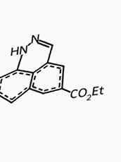 CCOC(=O)c1cc2c3c(cccc3c1)NN=C2